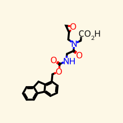 O=C(O)CN(CC1CO1)C(=O)CNC(=O)OCc1cccc2c1Cc1ccccc1-2